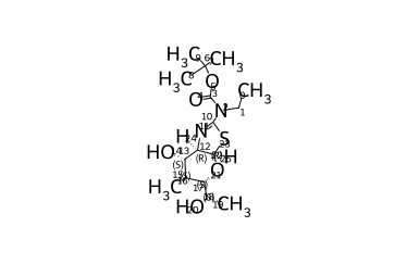 CCN(C(=O)OC(C)(C)C)C1=N[C@@H]2[C@@H](O)[C@H](C)[C@@H]([C@H](C)O)O[C@@H]2S1